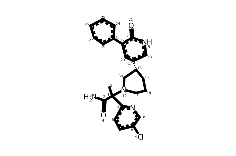 CC(C(N)=O)(c1ccc(Cl)cn1)N1CCC[C@@H](c2c[nH]c(=O)c(-c3ccccc3)c2)C1